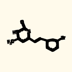 O=c1nc(/C=C/c2cccc(Br)c2)cc(C(F)(F)F)[nH]1